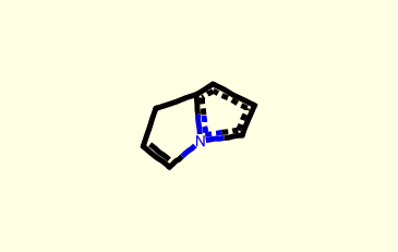 C1=Cn2cccc2C1